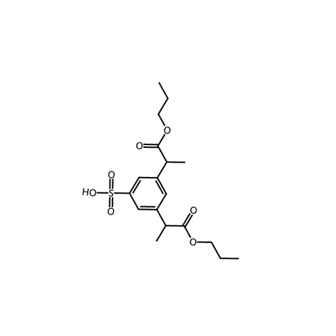 CCCOC(=O)C(C)c1cc(C(C)C(=O)OCCC)cc(S(=O)(=O)O)c1